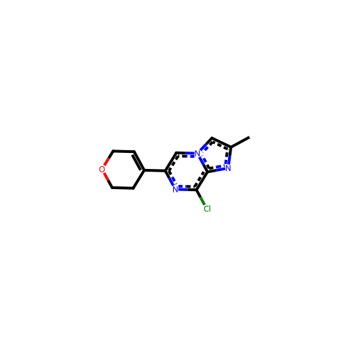 Cc1cn2cc(C3=CCOCC3)nc(Cl)c2n1